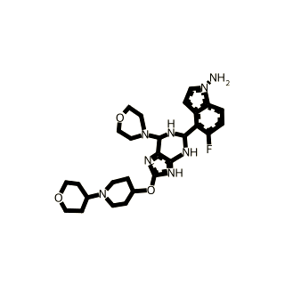 Nn1ccc2c(C3Nc4[nH]c(OC5CCN(C6CCOCC6)CC5)nc4C(N4CCOCC4)N3)c(F)ccc21